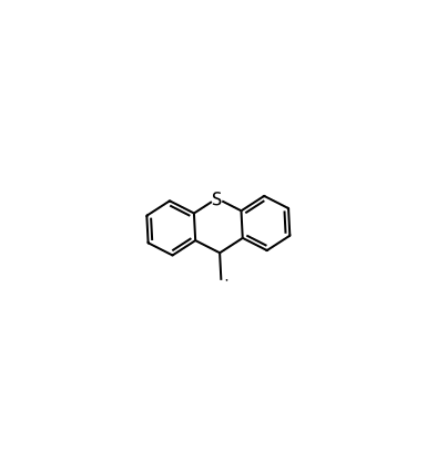 [CH2]C1c2ccccc2Sc2ccccc21